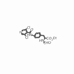 CCOC(=O)[C@H](Cc1ccc(NC(=O)c2c(Cl)cncc2Cl)cc1)NC=O